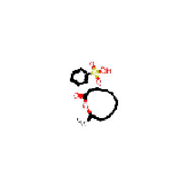 CC1CCCCCCCCC(=O)O1.O=S(=O)(O)c1ccccc1